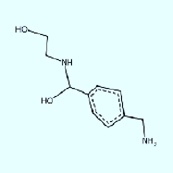 NCc1ccc(C(O)NCCO)cc1